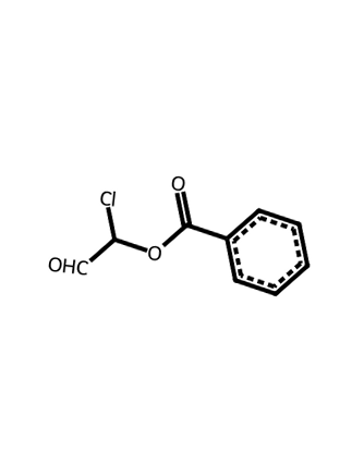 O=CC(Cl)OC(=O)c1ccccc1